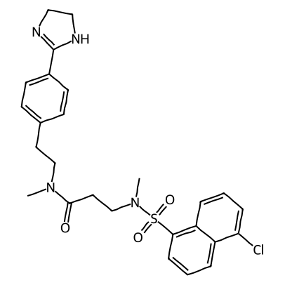 CN(CCc1ccc(C2=NCCN2)cc1)C(=O)CCN(C)S(=O)(=O)c1cccc2c(Cl)cccc12